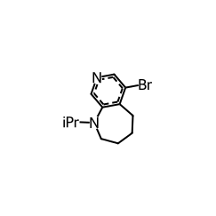 CC(C)N1CCCCc2c(Br)cncc21